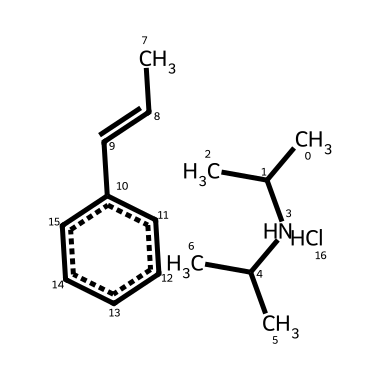 CC(C)NC(C)C.CC=Cc1ccccc1.Cl